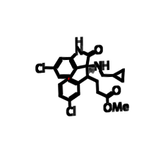 COC(=O)CCC(c1cccc(Cl)c1)[C@@]1(NCC2CC2)C(=O)Nc2cc(Cl)ccc21